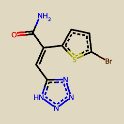 NC(=O)C(=Cc1nnn[nH]1)c1ccc(Br)s1